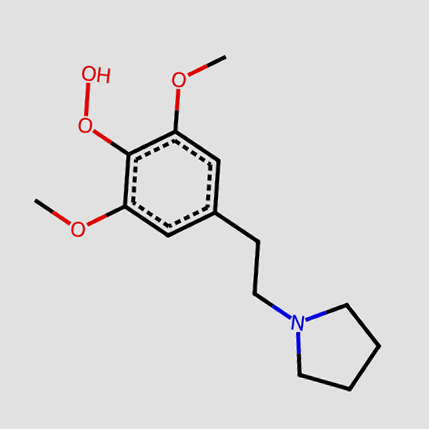 COc1cc(CCN2CCCC2)cc(OC)c1OO